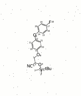 CC(C)(C)[Si](C)(C)OC(C#N)COc1ccc(Oc2ccc(F)cc2)cc1